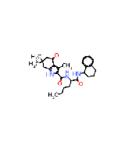 CCCCC(NC(=O)c1[nH]c2c(c1C)C(=O)CC(C)(C)C2)C(=O)NC1CCCc2ccccc21